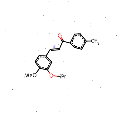 COc1ccc(/C=C/C(=O)c2ccc(C(F)(F)F)cc2)cc1OC(C)C